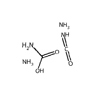 N.N.N=C=O.NC(=O)O